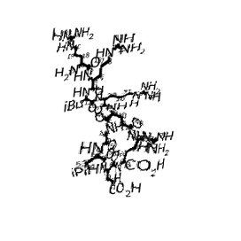 CCC(C)C(NC(=O)C(CCCNC(=N)N)NC(=O)C(N)CCCNC(=N)N)C(=O)NC(CCCNC(=N)N)C(=O)NC(CCC(N)=O)C(=O)NCC(=O)NC(CC(C)C)C(=O)NC(CCC(=O)O)C(=O)NC(CCCNC(=N)N)C(=O)O